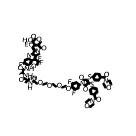 CC[C@@]1(O)C(=O)OCc2c1cc1n(c2=O)Cc2c-1nc1cc(F)c(NC(=O)[C@H](C)NC(=O)C(C)(NC(=O)COCCOCCOCCOc3c(F)cc(N4C(=O)C(Sc5ccc(C(=O)N6CCOCC6)cc5)=C(Sc5ccc(C(=O)N6CCOCC6)cc5)C4=O)cc3F)C(C)C)c3c1c2C(F)(F)CO3